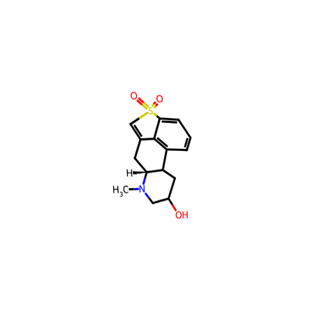 CN1CC(O)CC2c3cccc4c3C(=CS4(=O)=O)C[C@H]21